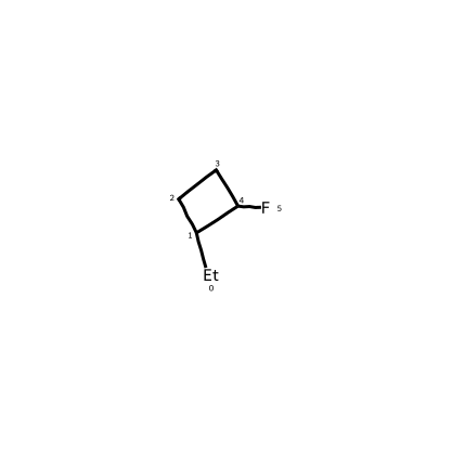 [CH2]CC1CCC1F